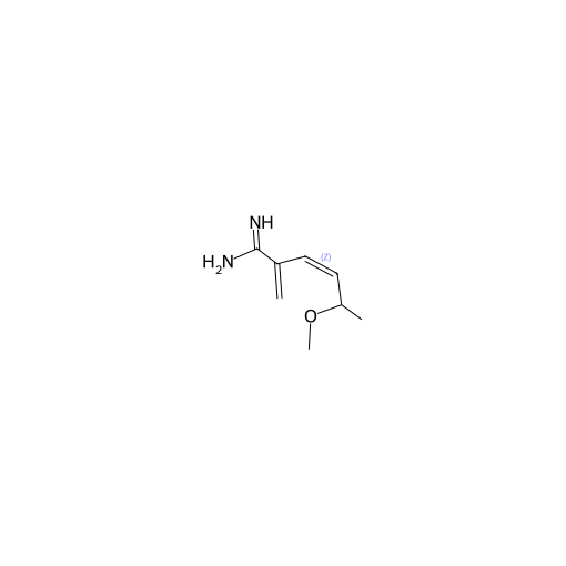 C=C(/C=C\C(C)OC)C(=N)N